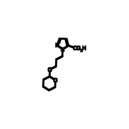 O=C(O)c1ccnn1CCCOC1CCCCO1